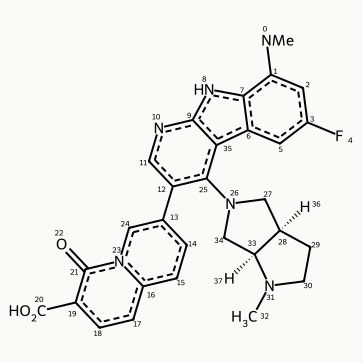 CNc1cc(F)cc2c1[nH]c1ncc(-c3ccc4ccc(C(=O)O)c(=O)n4c3)c(N3C[C@H]4CCN(C)[C@H]4C3)c12